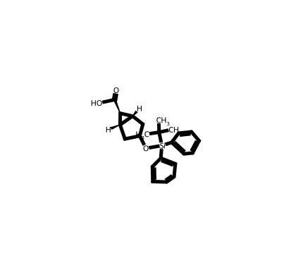 CC(C)(C)[Si](OC1C[C@@H]2[C@H](C1)[C@H]2C(=O)O)(c1ccccc1)c1ccccc1